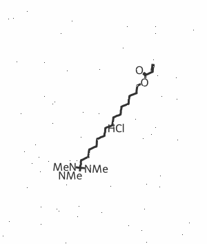 C=CC(=O)OCCCCCCCCCCCCCCCC(NC)(NC)NC.Cl